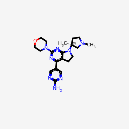 CN1CC[C@](C)(N2CCc3c(-c4cnc(N)nc4)nc(N4CCOCC4)nc32)C1